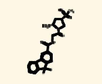 CS(=N)(=O)[C@@H]1C[C@@H](C(=O)O)N(C(=O)CNC(=O)c2ccc3c(c2)-c2ccccc2C3(F)F)C1